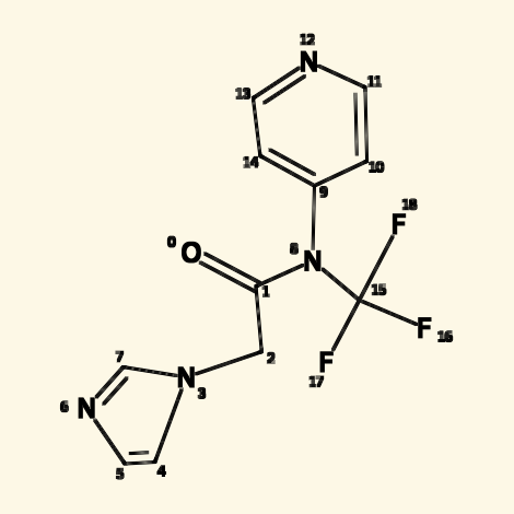 O=C(Cn1ccnc1)N(c1ccncc1)C(F)(F)F